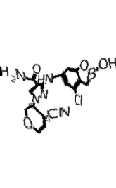 N#C[C@@H]1CCOC[C@H]1n1cc(C(N)=O)c(Nc2cc(Cl)c3c(c2)OB(O)C3)n1